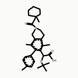 Cc1ccc(-c2c(C)c3c(c(C)c2C(OC(C)(C)C)C(=O)O)CCN(C(=O)C2(C)CCCCC2)C3)cc1